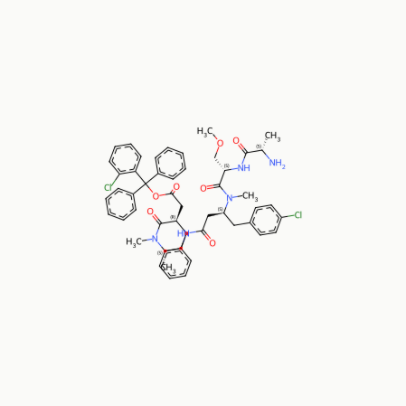 COC[C@H](NC(=O)[C@H](C)N)C(=O)N(C)[C@H](CC(=O)NC[C@H](C)N(C)C(=O)[C@@H](CC(=O)OC(c1ccccc1)(c1ccccc1)c1ccccc1Cl)Cc1ccccc1)Cc1ccc(Cl)cc1